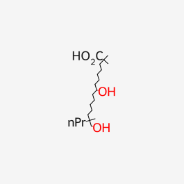 CCCC(C)(CO)CCCCCC(O)CCCCCC(C)(C)C(=O)O